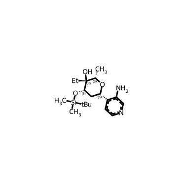 CC[C@@]1(O)[C@H](C)O[C@H](c2ccncc2N)C[C@@H]1O[Si](C)(C)C(C)(C)C